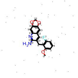 COc1cccc(F)c1Cc1cc2cc3c(cc2nc1N)OCO3